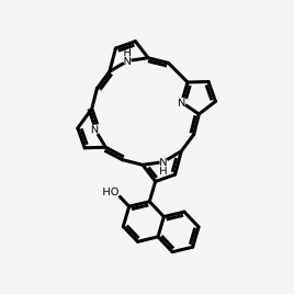 Oc1ccc2ccccc2c1-c1cc2cc3nc(cc4ccc(cc5nc(cc1[nH]2)C=C5)[nH]4)C=C3